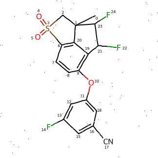 CC12CS(=O)(=O)c3ccc(Oc4cc(F)cc(C#N)c4)c(c31)C(F)C2F